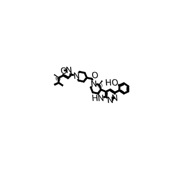 CC(C)[C@@H](C)c1cc(N2CCC(C(=O)N3CCC4Nc5nnc(-c6ccccc6O)cc5C4[C@@H]3C)CC2)no1